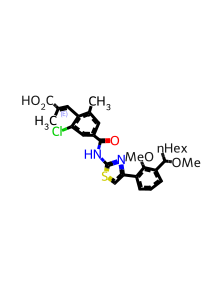 CCCCCCC(OC)c1cccc(-c2csc(NC(=O)c3cc(C)c(/C=C(\C)C(=O)O)c(Cl)c3)n2)c1OC